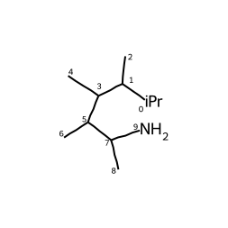 CC(C)C(C)C(C)C(C)C(C)N